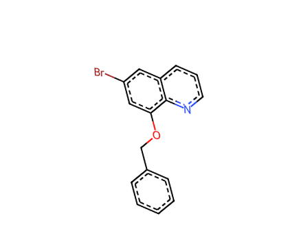 Brc1cc(OCc2ccccc2)c2ncccc2c1